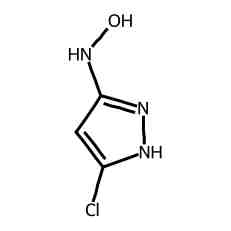 ONc1cc(Cl)[nH]n1